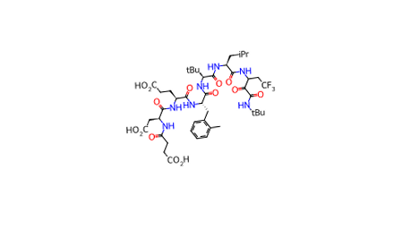 Cc1ccccc1C[C@H](NC(=O)[C@H](CCC(=O)O)NC(=O)[C@H](CC(=O)O)NC(=O)CCC(=O)O)C(=O)N[C@H](C(=O)N[C@@H](CC(C)C)C(=O)NC(CC(F)(F)F)C(=O)C(=O)NC(C)(C)C)C(C)(C)C